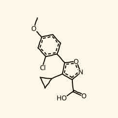 COc1ccc(-c2onc(C(=O)O)c2C2CC2)c(Cl)c1